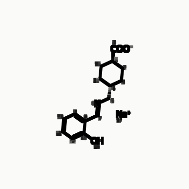 O=C([O-])[C@H]1CC[C@H](CN=Cc2ccccc2O)CC1.[Na+]